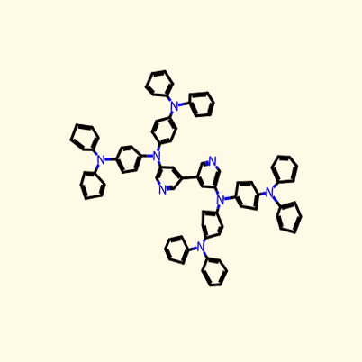 c1ccc(N(c2ccccc2)c2ccc(N(c3ccc(N(c4ccccc4)c4ccccc4)cc3)c3cncc(-c4cncc(N(c5ccc(N(c6ccccc6)c6ccccc6)cc5)c5ccc(N(c6ccccc6)c6ccccc6)cc5)c4)c3)cc2)cc1